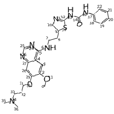 COc1cc2c(NCCC3CN=C(NC(=O)Nc4ccccc4)S3)ncnc2cc1OCCCN(C)C